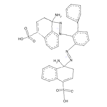 NC1(/N=N/c2cccc(-c3ccccc3)c2/N=N/C2(N)CC=C(S(=O)(=O)O)c3ccccc32)CC=C(S(=O)(=O)O)c2ccccc21